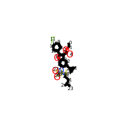 CCOC(=O)c1c(-c2ccc(F)cc2)oc2cc(N(CCCC(C)C)[SH](=O)=O)c(C3CC3)cc12